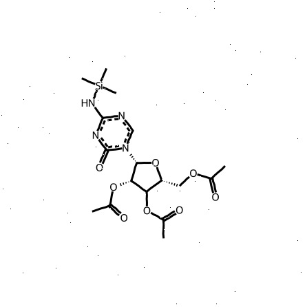 CC(=O)OC[C@H]1O[C@@H](n2cnc(N[Si](C)(C)C)nc2=O)[C@@H](OC(C)=O)C1OC(C)=O